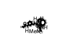 C=CC(=O)Nc1cccc(CNC(=O)[C@@H]2CC[C@@H]3CCCC[C@H](NC(=O)[C@H](C)NC)C(=O)N32)c1